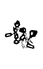 CC1C(c2ccccc2-c2ccc3c4c5oc6ccccc6c5ccc4n(-c4ccccc4)c3c2)=Cc2c(sc3ccccc23)C1c1nc(-c2ccccc2)nc(-c2ccccc2)n1